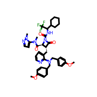 COc1ccc(CN(Cc2ccc(OC)cc2)c2ncccc2C[C@H]2C(=O)N(C(=O)NC(C3CCCCC3)C(F)(F)F)[C@@H]2C(=O)N(C)c2ccnn2C)cc1